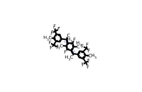 C/C(c1cc(C(F)(F)F)c(C)c(C(F)(F)F)c1)=c1/c(C)c(F)/c(=C(\C)c2cc(C(F)(F)F)c(C)c(C(F)(F)F)c2)c(C)c1F